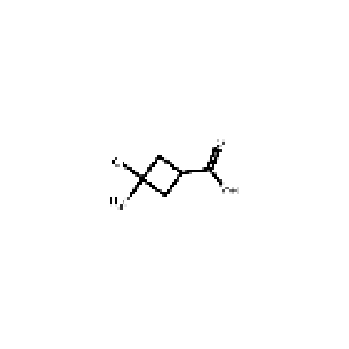 CC1(Cl)CC(C(=O)O)C1